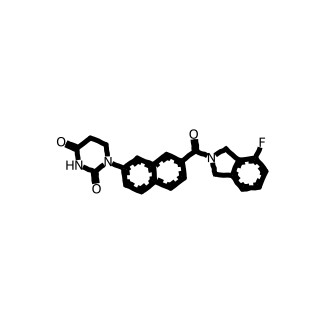 O=C1CCN(c2ccc3ccc(C(=O)N4Cc5cccc(F)c5C4)cc3c2)C(=O)N1